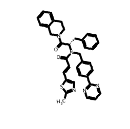 Cc1ncc(/C=C/C(=O)N(Cc2ccc(-c3ncccn3)cc2)[C@@H](Cc2ccccc2)C(=O)N2CCc3ccccc3C2)s1